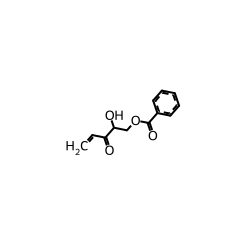 C=CC(=O)C(O)COC(=O)c1ccccc1